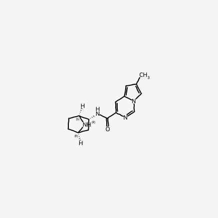 Cc1cc2cc(C(=O)N[C@@H]3C[C@H]4CC[C@@H]3N4)ncn2c1